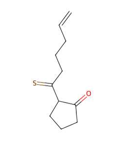 C=CCCCC(=S)C1CCCC1=O